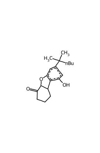 CCCCC(C)(C)c1cc(O)c2c(c1)OC1C(=O)CCCC21